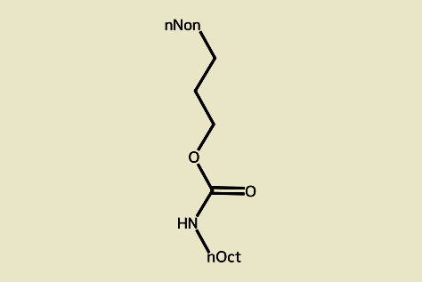 CCCCCCCCCCCCOC(=O)NCCCCCCCC